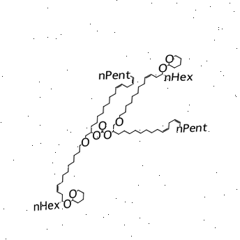 CCCCC/C=C\C/C=C\CCCCCCCCC(COCCCCCCCC/C=C\C[C@@H](CCCCCC)OC1CCCCO1)OC(=O)OC(CCCCCCCC/C=C\C/C=C\CCCCC)COCCCCCCCC/C=C\C[C@@H](CCCCCC)OC1CCCCO1